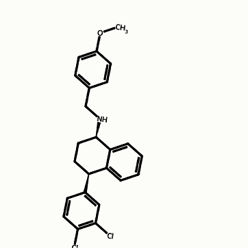 COc1ccc(CN[C@@H]2CC[C@H](c3ccc(Cl)c(Cl)c3)c3ccccc32)cc1